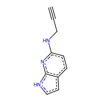 C#CCNc1ccc2cc[nH]c2n1